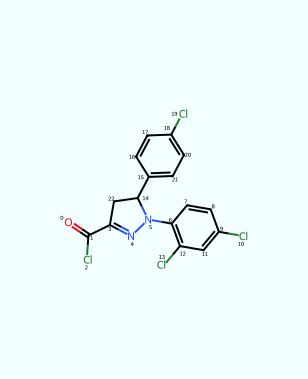 O=C(Cl)C1=NN(c2ccc(Cl)cc2Cl)C(c2ccc(Cl)cc2)C1